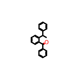 CC(c1ccccc1)c1ccccc1C(=O)c1ccccc1